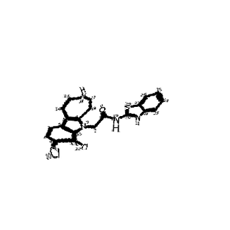 O=C(Cn1c2c(c3ccc(Cl)c(Cl)c31)CCNCC2)Nc1nc2ccccc2s1